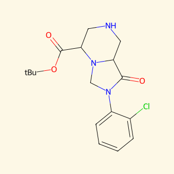 CC(C)(C)OC(=O)C1CNCC2C(=O)N(c3ccccc3Cl)CN12